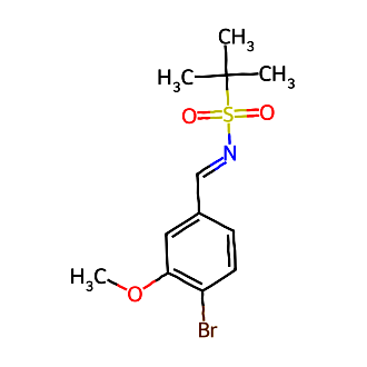 COc1cc(C=NS(=O)(=O)C(C)(C)C)ccc1Br